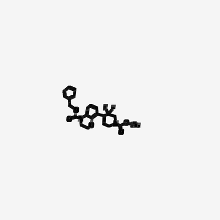 CC(C)(C)OC(=O)N1CC=C(c2cccc3c2OCCN3C(=O)OCc2ccccc2)C(F)(F)C1